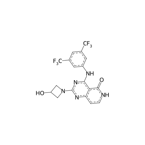 O=c1[nH]ccc2nc(N3CC(O)C3)nc(Nc3cc(C(F)(F)F)cc(C(F)(F)F)c3)c12